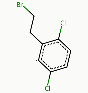 Clc1[c]c(CCBr)c(Cl)cc1